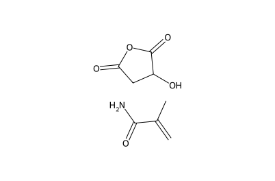 C=C(C)C(N)=O.O=C1CC(O)C(=O)O1